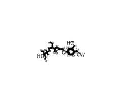 CC/C(=C/CC(C)(C)C(O)(CC)CC)c1csc(COc2ccc(CO)c(CO)c2)c1